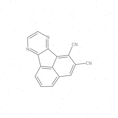 N#Cc1cc2cccc3c2c(c1C#N)-c1nccnc1-3